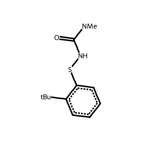 CNC(=O)NSc1ccccc1C(C)(C)C